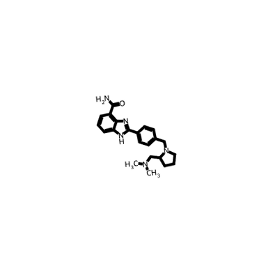 CN(C)CC1CCCN1Cc1ccc(-c2nc3c(C(N)=O)cccc3[nH]2)cc1